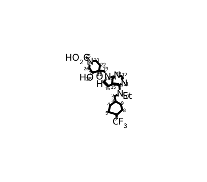 CCN(CC1CCC(C(F)(F)F)CC1)c1ncnc2c1ccn2CC1(O)CCN(C(=O)O)CC1O